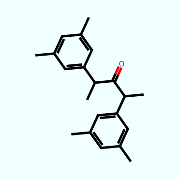 Cc1cc(C)cc(C(C)C(=O)C(C)c2cc(C)cc(C)c2)c1